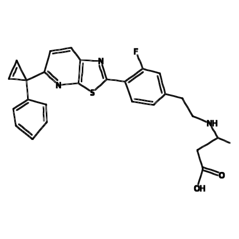 CC(CC(=O)O)NCCc1ccc(-c2nc3ccc(C4(c5ccccc5)C=C4)nc3s2)c(F)c1